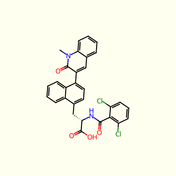 Cn1c(=O)c(-c2ccc(C[C@H](NC(=O)c3c(Cl)cccc3Cl)C(=O)O)c3ccccc23)cc2ccccc21